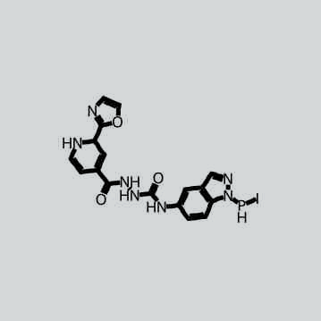 O=C(NNC(=O)C1=CC(c2ncco2)NC=C1)Nc1ccc2c(cnn2PI)c1